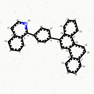 c1ccc2c(-c3ccc(-c4cc5c6ccccc6ccc5c5ccccc45)cc3)nccc2c1